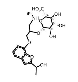 CC(C)NCC(COc1cccc2cc(C(C)O)oc12)O[C@@H]1O[C@H](C(=O)O)[C@@H](O)[C@H](O)[C@H]1O